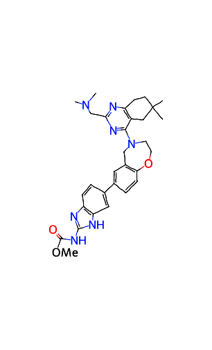 COC(=O)Nc1nc2ccc(-c3ccc4c(c3)CN(c3nc(CN(C)C)nc5c3CC(C)(C)CC5)CCO4)cc2[nH]1